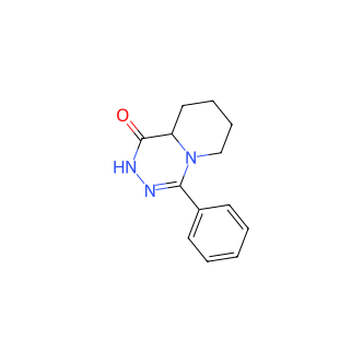 O=C1NN=C(c2ccccc2)N2CCCCC12